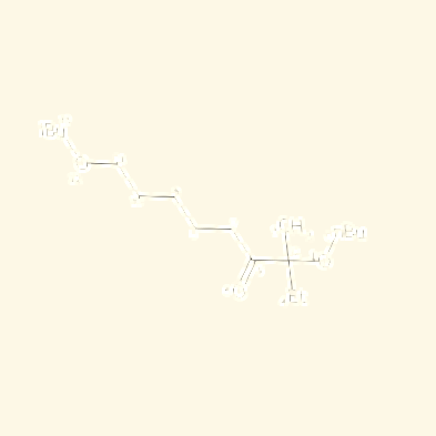 CCCCOC(C)(CC)C(=O)CCCCCOC(C)CC